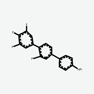 CCCc1ccc(-c2ccc(-c3cc(F)c(F)c(F)c3)c(F)c2)cc1